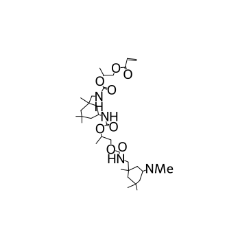 C=CC(=O)OCC(C)OC(=O)NCC1(C)CC(NC(=O)OC(C)COC(=O)NCC2(C)CC(NC)CC(C)(C)C2)CC(C)(C)C1